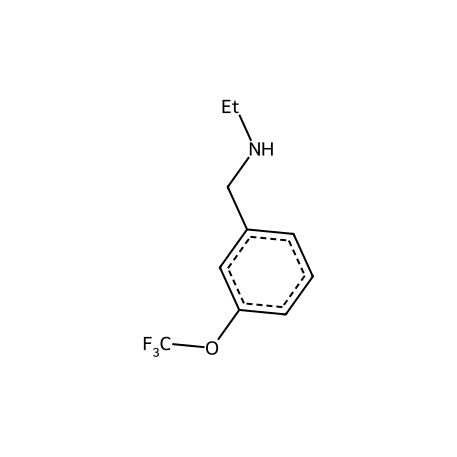 CCNCc1cccc(OC(F)(F)F)c1